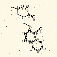 CC(=O)CC(CCn1nnc2ccccc2c1=O)C(=O)O